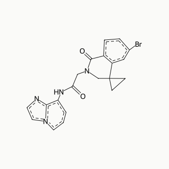 O=C(CN1CC2(CC2)c2cc(Br)ccc2C1=O)Nc1cccn2ccnc12